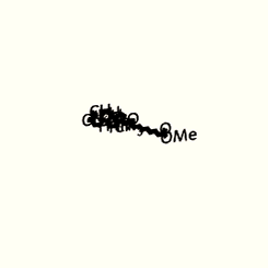 COC(=O)CCCCCCCC(=O)NC1CC[C@H]2[C@@H]3CCC4N(C)C(=O)CC[C@]4(C)[C@@H]3CC[C@]12C